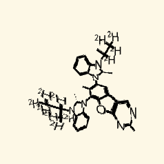 [2H]C([2H])([2H])C([2H])(C)N1c2ccccc2N(c2cc3c(oc4nc(C)ncc43)c(N3c4ccccc4N(C([2H])(C([2H])([2H])[2H])C([2H])([2H])[2H])[C@@H]3C)c2C)[C@@H]1C